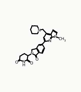 Cn1ccc2c(CN3CCCCC3)cc(-c3ccc4c(c3)CN(C3CCC(=O)NC3=O)C4=O)nc21